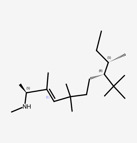 CC[C@H](C)[C@@H](CCC(C)(C)/C=C(\C)[C@H](C)NC)C(C)(C)C